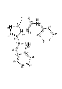 c1ccc(Nc2ccc3ncc(-c4cc5ccccc5[nH]4)n3n2)cc1